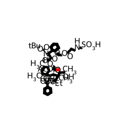 CC[C@H](O)[C@@](C)(C(=O)[C@@H](C)O)[C@H]([C@H](OC(=O)c1ccccc1)[C@]1(O)C[C@H](OC(=O)[C@H](OC(=O)COC(=O)CCNCS(=O)(=O)O)[C@@H](NC(=O)OC(C)(C)C)c2ccccc2)C(C)=CC1(C)C)[C@]1(OC(C)=O)CO1